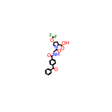 O=C(NCC(=O)N1CC(OC(F)F)CC1C(=O)O)c1ccc(C(=O)c2ccccc2)cc1